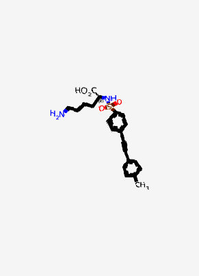 Cc1ccc(C#Cc2ccc(S(=O)(=O)N[C@H](CCCCN)C(=O)O)cc2)cc1